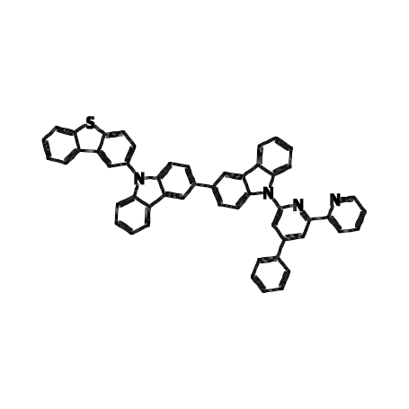 c1ccc(-c2cc(-c3ccccn3)nc(-n3c4ccccc4c4cc(-c5ccc6c(c5)c5ccccc5n6-c5ccc6sc7ccccc7c6c5)ccc43)c2)cc1